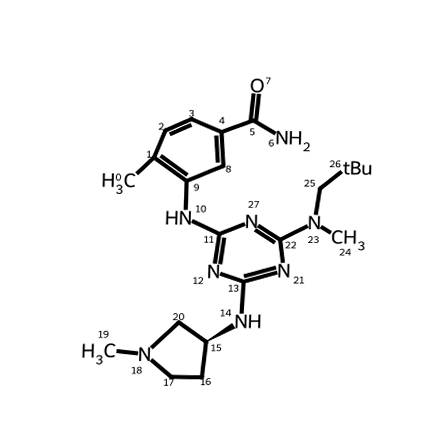 Cc1ccc(C(N)=O)cc1Nc1nc(N[C@H]2CCN(C)C2)nc(N(C)CC(C)(C)C)n1